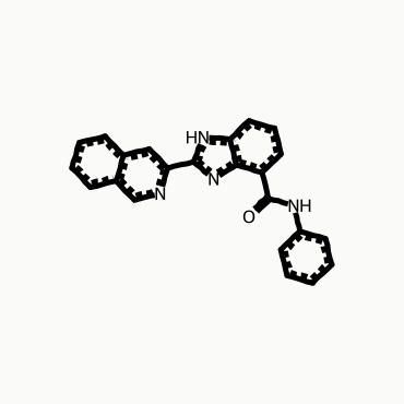 O=C(Nc1ccccc1)c1cccc2[nH]c(-c3cc4ccccc4cn3)nc12